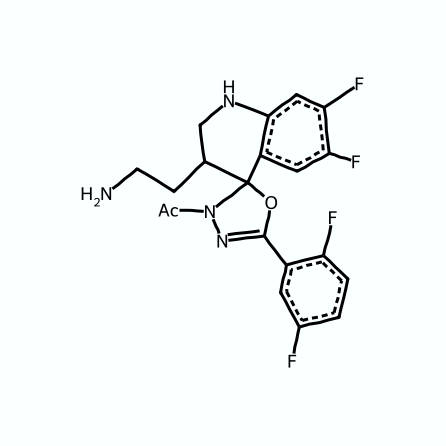 CC(=O)N1N=C(c2cc(F)ccc2F)OC12c1cc(F)c(F)cc1NCC2CCN